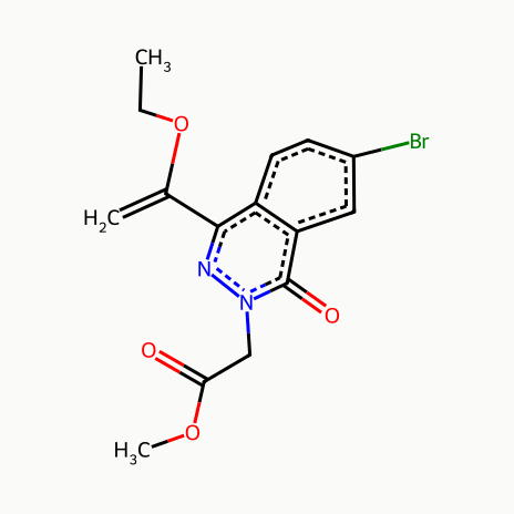 C=C(OCC)c1nn(CC(=O)OC)c(=O)c2cc(Br)ccc12